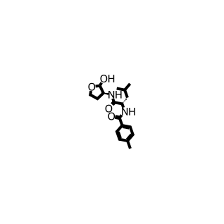 Cc1ccc(C(=O)N[C@@H](CC(C)C)C(=O)N[C@H]2CCOC2O)cc1